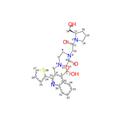 O=C(O)c1c(CN2CCN(CC(=O)N3CCC[C@@H]3CO)C(=O)C2)c(-c2cccs2)nc2ccccc12